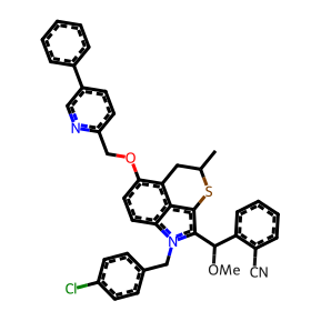 COC(c1ccccc1C#N)c1c2c3c(c(OCc4ccc(-c5ccccc5)cn4)ccc3n1Cc1ccc(Cl)cc1)CC(C)S2